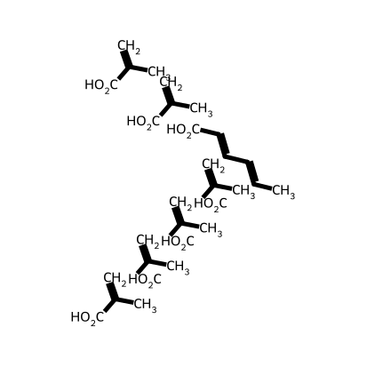 C/C=C/C=C/C(=O)O.C=C(C)C(=O)O.C=C(C)C(=O)O.C=C(C)C(=O)O.C=C(C)C(=O)O.C=C(C)C(=O)O.C=C(C)C(=O)O